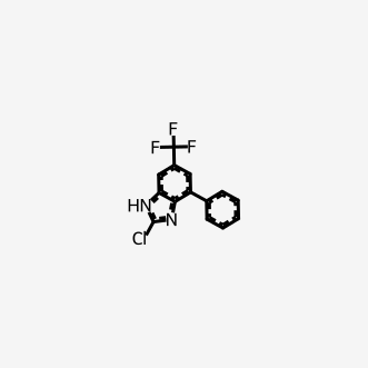 FC(F)(F)c1cc(-c2ccccc2)c2nc(Cl)[nH]c2c1